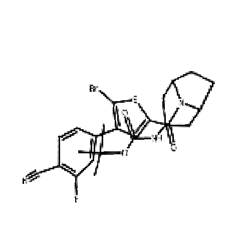 CC(C)(C)OC(=O)NC1CC2CCC(C1)N2C(=O)c1cc(-c2ccc(C#N)c(F)c2)c(Br)s1